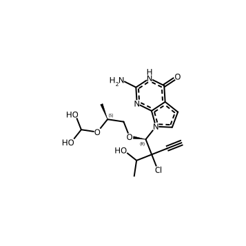 C#CC(Cl)(C(C)O)[C@@H](OC[C@H](C)OC(O)O)n1ccc2c(=O)[nH]c(N)nc21